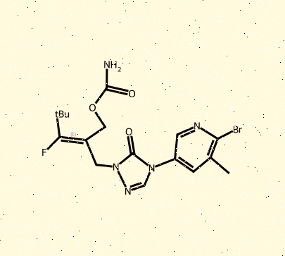 Cc1cc(-n2cnn(C/C(COC(N)=O)=C(\F)C(C)(C)C)c2=O)cnc1Br